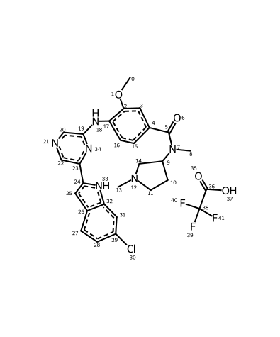 COc1cc(C(=O)N(C)C2CCN(C)C2)ccc1Nc1cncc(-c2cc3ccc(Cl)cc3[nH]2)n1.O=C(O)C(F)(F)F